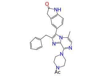 CC(=O)N1CCN(c2ncc(C)n3c(-c4ccc5c(c4)CC(=O)N5)c(Cc4ccccc4)nc23)CC1